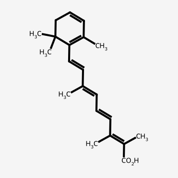 CC1=C(/C=C/C(C)=C/C=C/C(C)=C(\C)C(=O)O)C(C)(C)CC=C1